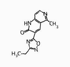 CCc1noc(-c2cc3c(C)nccc3[nH]c2=O)n1